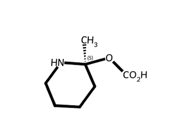 C[C@]1(OC(=O)O)CCCCN1